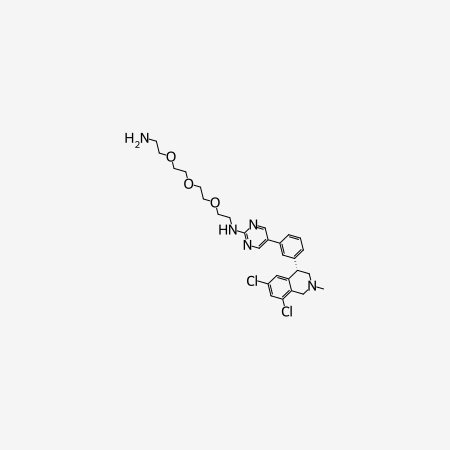 CN1Cc2c(Cl)cc(Cl)cc2[C@H](c2cccc(-c3cnc(NCCOCCOCCOCCN)nc3)c2)C1